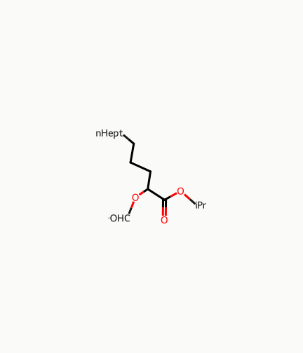 CCCCCCCCCCC(O[C]=O)C(=O)OC(C)C